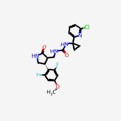 COc1cc(F)c([C@@H]2CNC(=O)C2CNC(=O)NC2(c3cccc(Cl)n3)CC2)c(F)c1